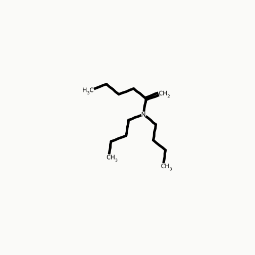 C=C(CCCC)N(CCCC)CCCC